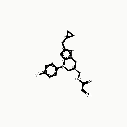 C=CC(=O)NC[C@H]1CN(c2ccc(C(F)(F)F)cc2)c2cc(CC3CC3)nn2C1